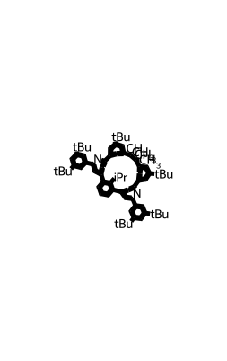 CC(C)c1c2cccc1-c1cc(-c3cc(C(C)(C)C)cc(C(C)(C)C)c3)nc(c1)-c1cc(C(C)(C)C)cc(c1)C(C)(C)C(C)(C)c1cc(cc(C(C)(C)C)c1)-c1cc-2cc(-c2cc(C(C)(C)C)cc(C(C)(C)C)c2)n1